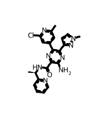 Cc1cc(-c2nc(C(=O)N[C@H](C)c3ccccn3)c(N)nc2-c2ccn(C)n2)cc(Cl)n1